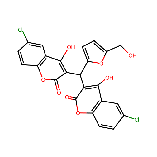 O=c1oc2ccc(Cl)cc2c(O)c1C(c1ccc(CO)o1)c1c(O)c2cc(Cl)ccc2oc1=O